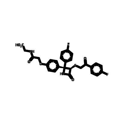 O=C(O)CNC(=O)COc1ccc([C@]2(c3ccc(F)cc3)NC(=O)[C@@H]2SCC(=O)c2ccc(F)cc2)cc1